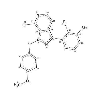 COc1ccc(Cn2nc(-c3cccc(Cl)c3Cl)c3ccnc(Cl)c32)cc1